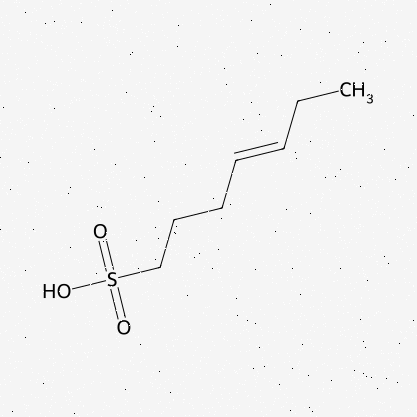 CC/C=C/CCCS(=O)(=O)O